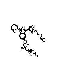 CNCC(F)(F)COc1ccc2c(c1)c(-c1cnn(CCOC=O)n1)nn2C1CCCCO1